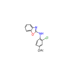 CC(=O)Oc1ccc(Nc2nc3ccccc3o2)c(Cl)c1